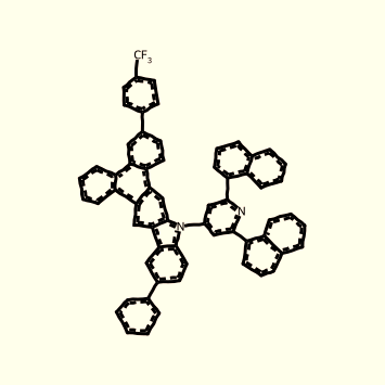 FC(F)(F)c1ccc(-c2ccc3c(c2)c2ccccc2c2cc4c5cc(-c6ccccc6)ccc5n(-c5cc(-c6cccc7ccccc67)nc(-c6cccc7ccccc67)c5)c4cc32)cc1